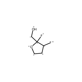 OCC1(F)OCCC1F